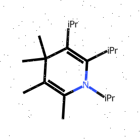 CC1=C(C)C(C)(C)C(C(C)C)=C(C(C)C)N1C(C)C